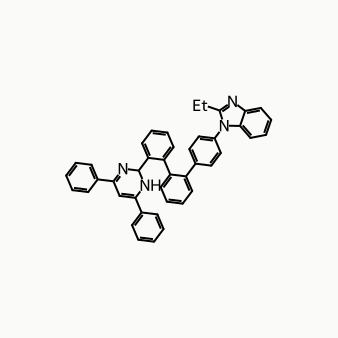 CCc1nc2ccccc2n1-c1ccc(-c2ccccc2-c2ccccc2C2N=C(c3ccccc3)C=C(c3ccccc3)N2)cc1